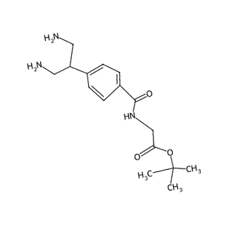 CC(C)(C)OC(=O)CNC(=O)c1ccc(C(CN)CN)cc1